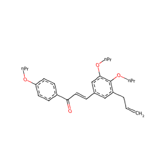 C=CCc1cc(C=CC(=O)c2ccc(OCCC)cc2)cc(OCCC)c1OCCC